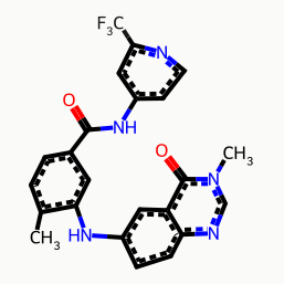 Cc1ccc(C(=O)Nc2ccnc(C(F)(F)F)c2)cc1Nc1ccc2ncn(C)c(=O)c2c1